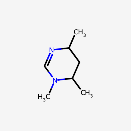 CC1CC(C)N(C)C=N1